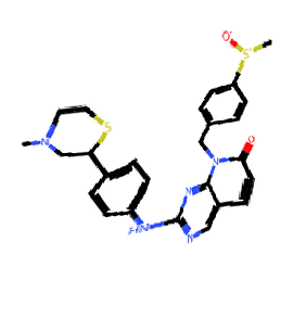 CN1CCSC(c2ccc(Nc3ncc4ccc(=O)n(Cc5ccc([S+](C)[O-])cc5)c4n3)cc2)C1